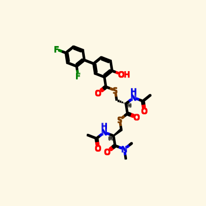 CC(=O)N[C@@H](CSC(=O)c1cc(-c2ccc(F)cc2F)ccc1O)C(=O)SC[C@H](NC(C)=O)C(=O)N(C)C